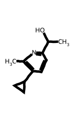 Cc1nc(C(C)O)ccc1C1CC1